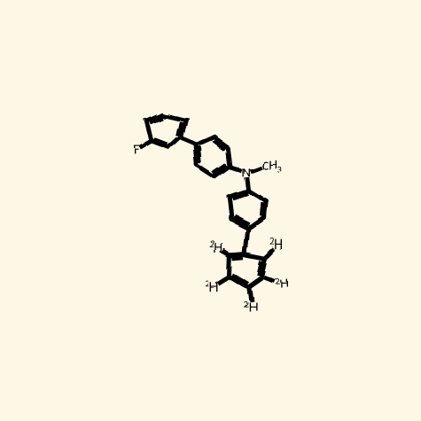 [2H]c1c([2H])c([2H])c(-c2ccc(N(C)c3ccc(-c4cccc(F)c4)cc3)cc2)c([2H])c1[2H]